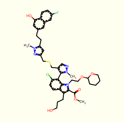 COC(=O)c1c(CCCO)c2ccc(Cl)c(-c3c(CSCc4cc(CCc5cc(O)c6ccc(F)cc6c5)n(C)n4)cnn3C)c2n1CCOC1CCCCO1